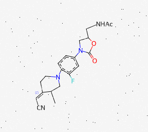 CC(=O)NCC1CN(c2ccc(N3CC/C(=C/C#N)C(C)C3)c(F)c2)C(=O)O1